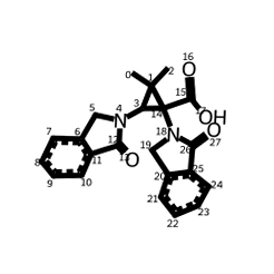 CC1(C)C(N2Cc3ccccc3C2=O)C1(C(=O)O)N1Cc2ccccc2C1=O